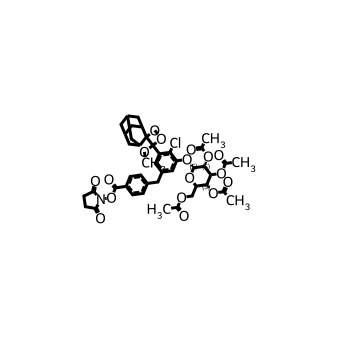 COC1(c2cc(Cc3ccc(C(=O)ON4C(=O)CCC4=O)cc3)cc(O[C@@H]3OC(COC(C)=O)[C@H](OC(C)=O)C(OC(C)=O)[C@@H]3OC(C)=O)c2Cl)OOC12C1CC3CC(C1)CC2C3